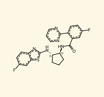 O=C(N[C@H]1CCC[C@@H]1Nc1nc2ccc(F)cc2s1)c1cc(F)ccc1-c1ncccn1